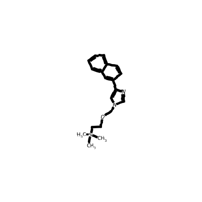 C[Si](C)(C)CCOCn1cnc(-c2ccc3ccccc3c2)c1